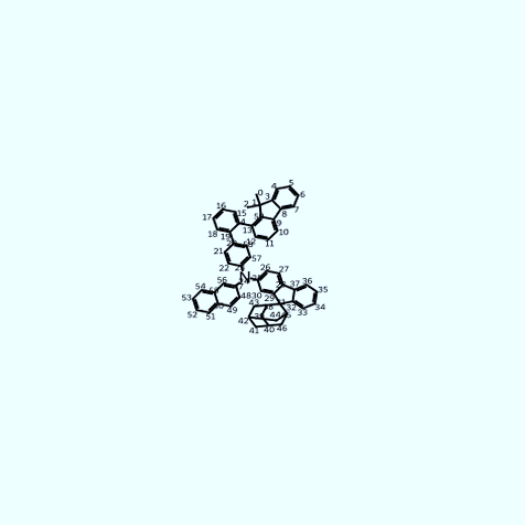 CC1(C)c2ccccc2-c2cccc(-c3ccccc3-c3ccc(N(c4ccc5c(c4)C4(c6ccccc6-5)C5CC6CC(C5)CC4C6)c4ccc5ccccc5c4)cc3)c21